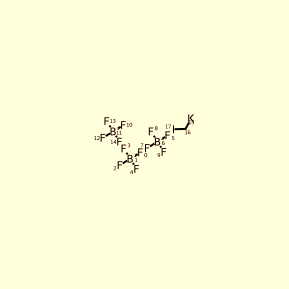 F[B-](F)(F)F.F[B-](F)(F)F.F[B-](F)(F)F.[K][CH2]I